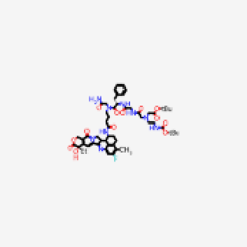 CC[C@@]1(O)C(=O)OCc2c1cc1n(c2=O)Cc2c-1nc1cc(F)c(C)c3c1c2[C@@H](NC(=O)CCCN(CC(N)=O)C(=O)[C@H](Cc1ccccc1)NC(=O)CNC(=O)CN(CCNC(=O)OC(C)(C)C)CC(=O)OC(C)(C)C)CC3